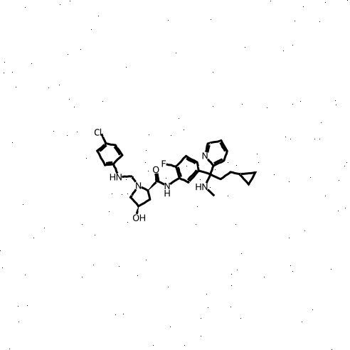 CNC(CCC1CC1)(c1ccc(F)c(NC(=O)[C@H]2C[C@@H](O)CN2CNc2ccc(Cl)cc2)c1)c1ccccn1